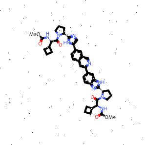 COC(=O)N[C@H](C(=O)N1CCC[C@H]1c1ncc(-c2ccc3cc(-c4ccc5nc([C@@H]6CCCN6C(=O)[C@@H](NC(=O)OC)C6CCC6)[nH]c5c4)ncc3c2)[nH]1)C1CCC1